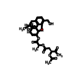 CC(=O)O[C@@H](CC(=O)O[C@@H](C)C(=O)OC1=CC[C@@]2(O)[C@H]3Cc4ccc(CO)c5c4[C@@]2(CCN3C)[C@H]1O5)C(C)=O